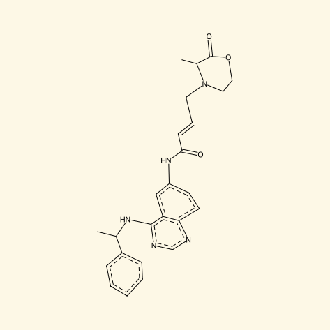 CC(Nc1ncnc2ccc(NC(=O)C=CCN3CCOC(=O)C3C)cc12)c1ccccc1